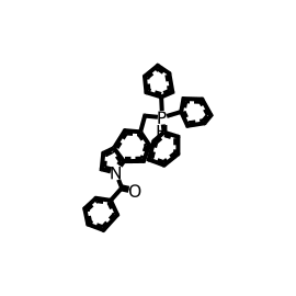 O=C(c1ccccc1)n1ccc2cc(C[PH](c3ccccc3)(c3ccccc3)c3ccccc3)ccc21